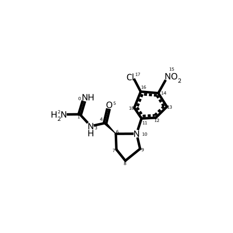 N=C(N)NC(=O)[C@@H]1CCCN1c1ccc([N+](=O)[O-])c(Cl)c1